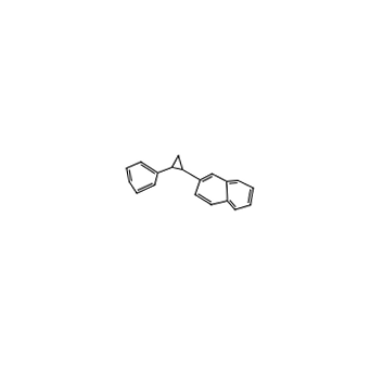 c1ccc(C2CC2c2ccc3ccccc3c2)cc1